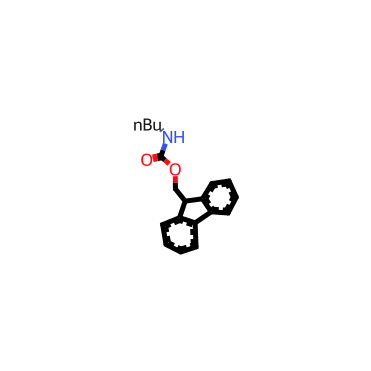 [CH2]CCCNC(=O)OCC1c2ccccc2-c2ccccc21